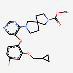 CC(C)(C)OC(=O)N1CCC2(CCN(c3ncncc3Oc3ccc(F)cc3OCC3CC3)C2)C1